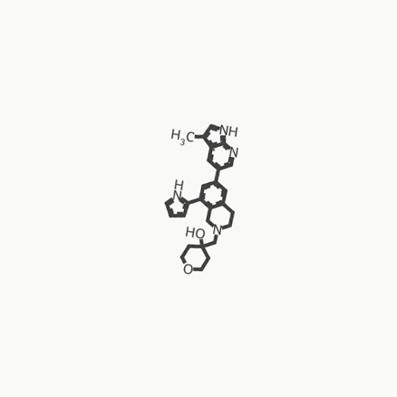 Cc1c[nH]c2ncc(-c3cc4c(c(-c5ccc[nH]5)c3)CN(CC3(O)CCOCC3)CC4)cc12